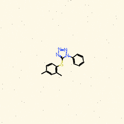 Cc1ccc(Sc2nnnn2-c2ccccc2)c(C)c1